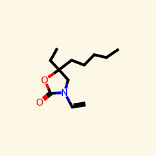 C=CN1CC(CC)(CCCCC)OC1=O